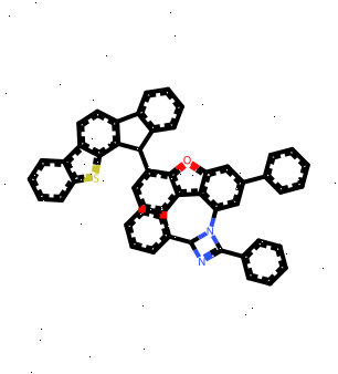 c1ccc(C2=NC(c3ccccc3)N2c2cc(-c3ccccc3)cc3oc4c(C5c6ccccc6-c6ccc7c(sc8ccccc87)c65)cccc4c23)cc1